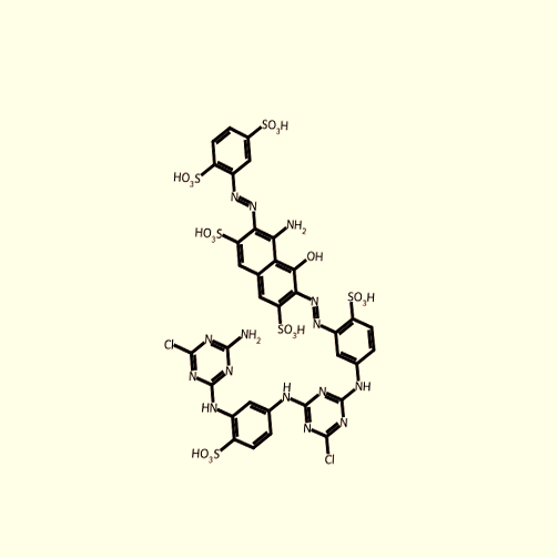 Nc1nc(Cl)nc(Nc2cc(Nc3nc(Cl)nc(Nc4ccc(S(=O)(=O)O)c(N=Nc5c(S(=O)(=O)O)cc6cc(S(=O)(=O)O)c(N=Nc7cc(S(=O)(=O)O)ccc7S(=O)(=O)O)c(N)c6c5O)c4)n3)ccc2S(=O)(=O)O)n1